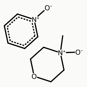 C[N+]1([O-])CCOCC1.[O-][n+]1ccccc1